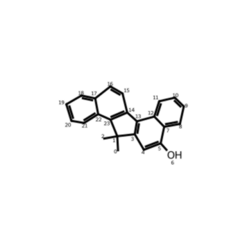 CC1(C)c2cc(O)c3ccccc3c2-c2ccc3ccccc3c21